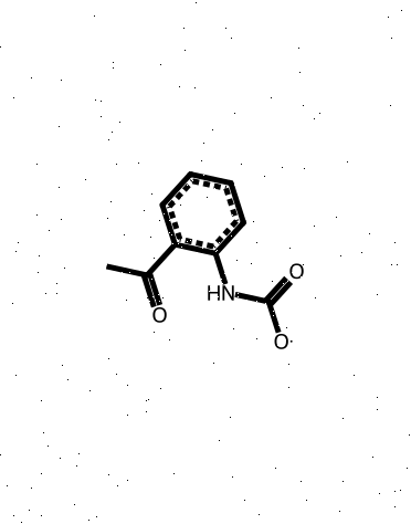 CC(=O)c1ccccc1NC([O])=O